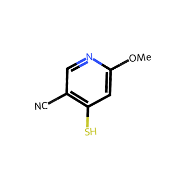 COc1cc(S)c(C#N)cn1